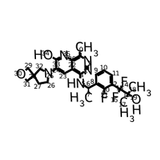 Cc1nnc(N[C@H](C)c2cccc(C(F)(F)C(C)(C)O)c2F)c2cc(N3CCC4(COC4)C3)c(O)nc12